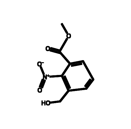 COC(=O)c1cccc(CO)c1[N+](=O)[O-]